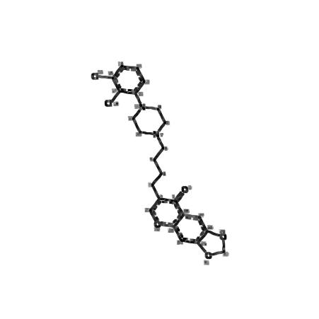 O=c1c(CCCCN2CCN(c3cccc(Cl)c3Cl)CC2)coc2cc3c(cc12)OCO3